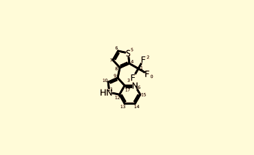 FC(F)(F)c1sccc1-c1c[nH]c2cccnc12